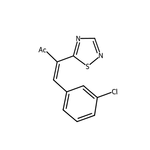 CC(=O)C(=Cc1cccc(Cl)c1)c1ncns1